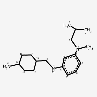 CC(C)CN(C)c1cccc(NCC2CCC(N)CC2)c1